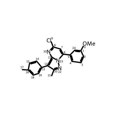 COc1cccc(-c2cc(Cl)nc3c(-c4ccc(C)cc4)c(C)nn23)c1